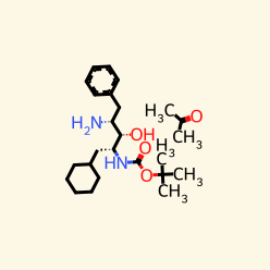 CC(C)(C)OC(=O)N[C@H](CC1CCCCC1)[C@@H](O)[C@H](N)Cc1ccccc1.CC(C)=O